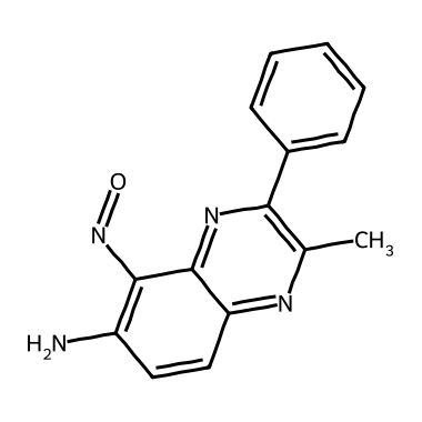 Cc1nc2ccc(N)c(N=O)c2nc1-c1ccccc1